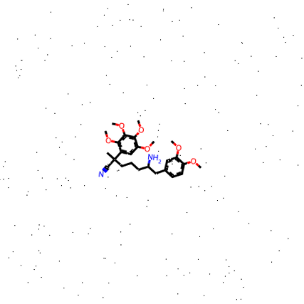 COc1ccc(CC(N)CCCC(C)(C#N)c2cc(OC)c(OC)c(OC)c2OC)cc1OC